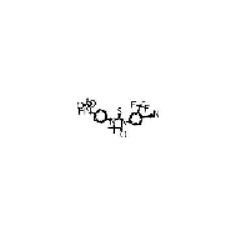 CC1(C)C(=O)N(c2ccc(C#N)c(C(F)(F)F)c2)C(=S)N1c1ccc(NS(C)(=O)=O)cc1